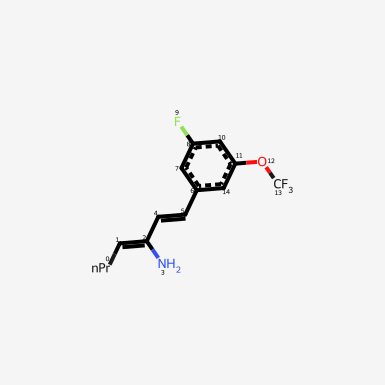 CCC/C=C(N)/C=C/c1cc(F)cc(OC(F)(F)F)c1